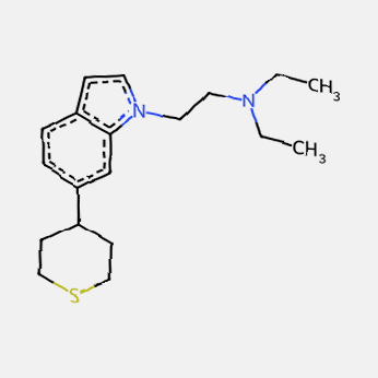 CCN(CC)CCn1ccc2ccc(C3CCSCC3)cc21